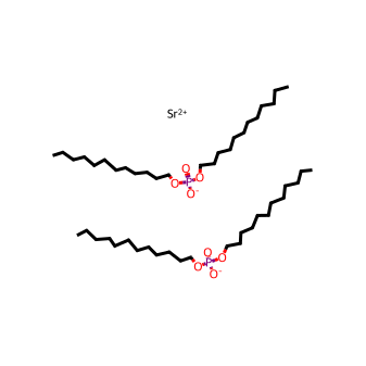 CCCCCCCCCCCCOP(=O)([O-])OCCCCCCCCCCCC.CCCCCCCCCCCCOP(=O)([O-])OCCCCCCCCCCCC.[Sr+2]